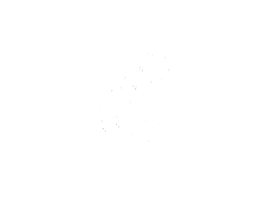 O=C1N=C(Nc2ccccc2Cl)SC1=Cc1ccc2ncn(CCC3CCCC3)c2c1